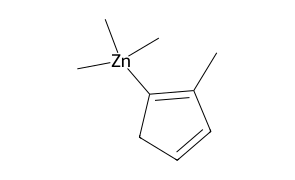 CC1=[C]([Zn]([CH3])([CH3])[CH3])CC=C1